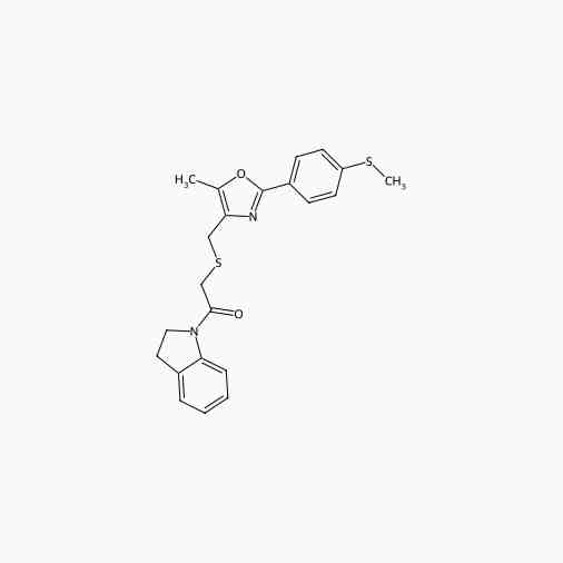 CSc1ccc(-c2nc(CSCC(=O)N3CCc4ccccc43)c(C)o2)cc1